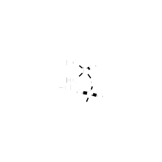 CS(=O)(=O)OP(=O)(O)O.Cl